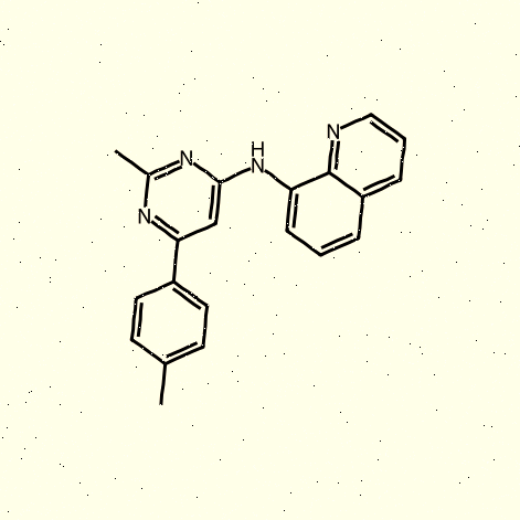 Cc1ccc(-c2cc(Nc3cccc4cccnc34)nc(C)n2)cc1